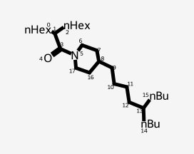 CCCCCCC(CCCCCC)C(=O)N1CCC(CCCCC(CCCC)CCCC)CC1